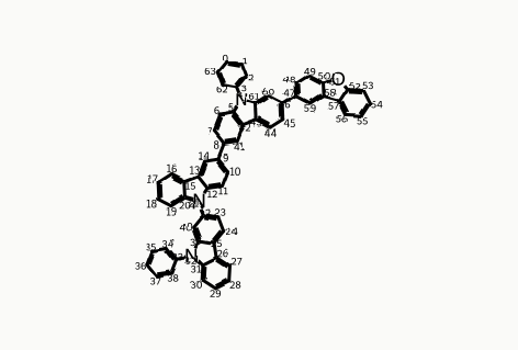 c1ccc(-n2c3ccc(-c4ccc5c(c4)c4ccccc4n5-c4ccc5c6ccccc6n(-c6ccccc6)c5c4)cc3c3ccc(-c4ccc5oc6ccccc6c5c4)cc32)cc1